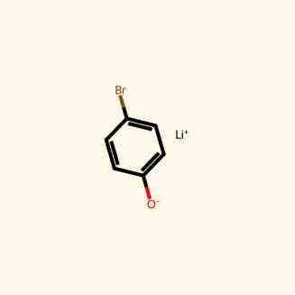 [Li+].[O-]c1ccc(Br)cc1